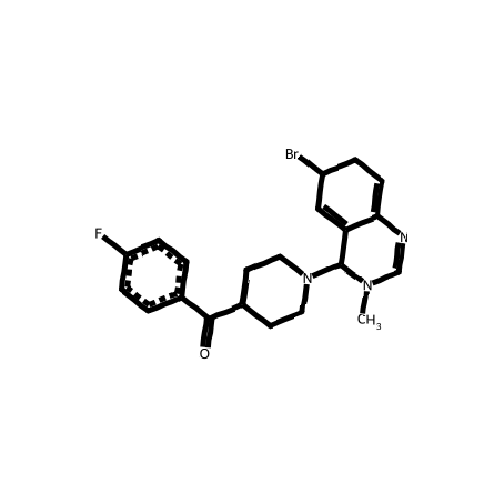 CN1C=NC2=CCC(Br)C=C2C1N1CCC(C(=O)c2ccc(F)cc2)CC1